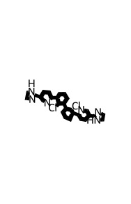 Clc1c(-c2ccc(C3=NCCN3)cn2)cccc1-c1cccc(-c2ccc(C3=NCCN3)cn2)c1Cl